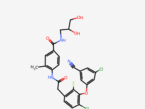 Cc1cc(C(=O)NCC(O)CO)ccc1NC(=O)Cc1ccc(Cl)c(Oc2cc(Cl)cc(C#N)c2)c1F